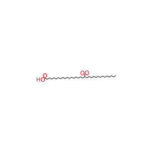 CCCCCCCCCCCCCCC(CCCCCCCCCCCCCCCCCC(=O)O)C(=O)OC